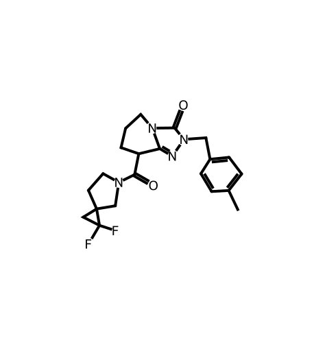 Cc1ccc(Cn2nc3n(c2=O)CCCC3C(=O)N2CCC3(C2)CC3(F)F)cc1